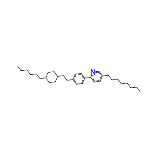 CCCCCCCCc1ccc(-c2ccc(CCC3CCC(CCCCCC)CC3)cc2)nc1